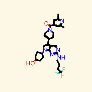 Cc1cc(C(=O)N2CC=C(c3cn(C4CCC(O)CC4)c4nc(NCCCC(F)(F)F)ncc34)CC2)cc(C)n1